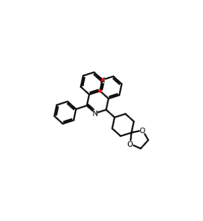 c1ccc(C(=NC(c2cccnc2)C2CCC3(CC2)OCCO3)c2ccccc2)cc1